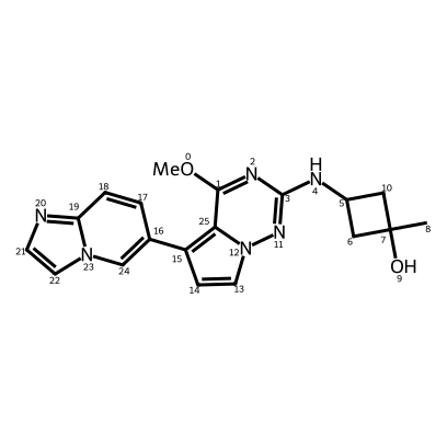 COc1nc(NC2CC(C)(O)C2)nn2ccc(-c3ccc4nccn4c3)c12